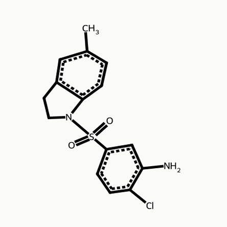 Cc1ccc2c(c1)CCN2S(=O)(=O)c1ccc(Cl)c(N)c1